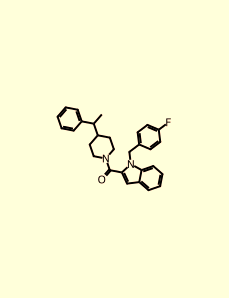 CC(c1ccccc1)C1CCN(C(=O)c2cc3ccccc3n2Cc2ccc(F)cc2)CC1